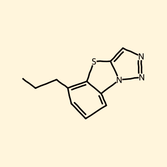 CCCc1cccc2c1sc1cnnn12